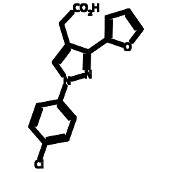 O=C(O)Cc1cn(-c2ccc(Cl)cc2)nc1-c1ccco1